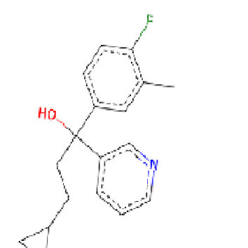 Cc1cc(C(O)(CCC2CC2)c2cccnc2)ccc1F